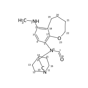 CNc1ccc(N(C=O)C2CN3CCC2CC3)c2c1CCCCO2